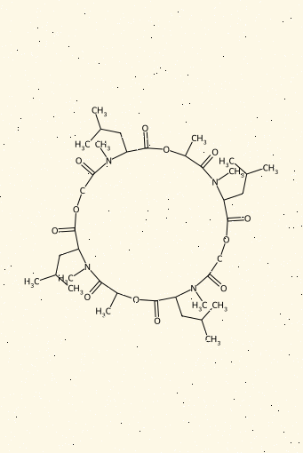 CC(C)CC1C(=O)OC(C)C(=O)N(C)C(CC(C)C)C(=O)OCC(=O)N(C)C(CC(C)C)C(=O)OC(C)C(=O)N(C)C(CC(C)C)C(=O)OCC(=O)N1C